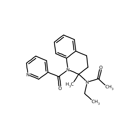 CCN(C(C)=O)C1(C)CCc2ccccc2N1C(=O)c1cccnc1